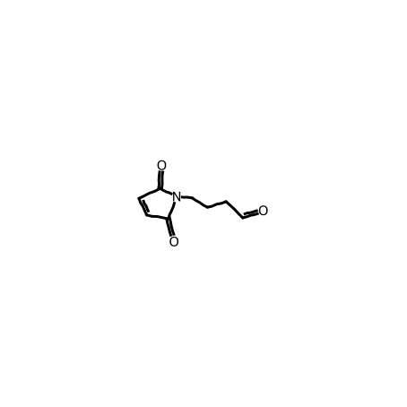 O=CCCCN1C(=O)C=CC1=O